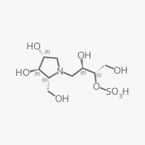 O=S(=O)(O)O[C@@H](CO)[C@H](O)CN1C[C@@H](O)[C@H](O)[C@H]1CO